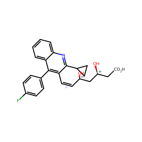 O=C(O)C[C@H](O)C[C@H](O)/C=C\c1c(C2CC2)nc2ccccc2c1-c1ccc(F)cc1